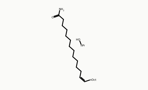 CCCCCCCC/C=C\CCCCCCCCCCCC(N)=O.CCCO